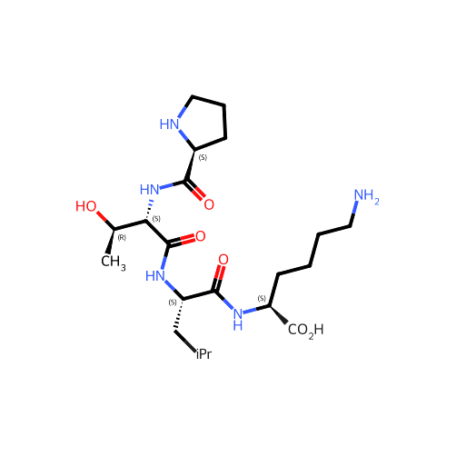 CC(C)C[C@H](NC(=O)[C@@H](NC(=O)[C@@H]1CCCN1)[C@@H](C)O)C(=O)N[C@@H](CCCCN)C(=O)O